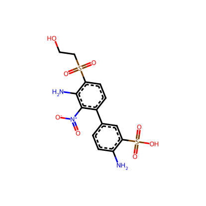 Nc1ccc(-c2ccc(S(=O)(=O)CCO)c(N)c2[N+](=O)[O-])cc1S(=O)(=O)O